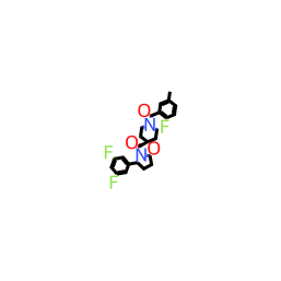 Cc1ccc(F)c(C(=O)N2CCC3(CC2)OC2CCC(c4cc(F)cc(F)c4)N2C3=O)c1